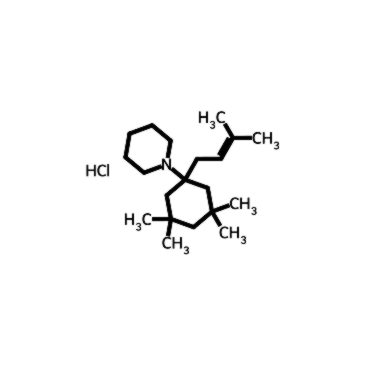 CC(C)=CCC1(N2CCCCC2)CC(C)(C)CC(C)(C)C1.Cl